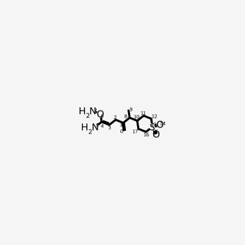 C=C(C/C=C(/N)ON)C(C)C1CCS(=O)(=O)CC1